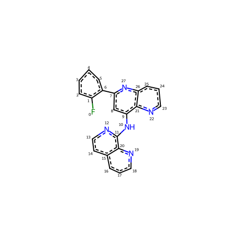 Fc1ccccc1-c1cc(Nc2nccc3cccnc23)c2ncccc2n1